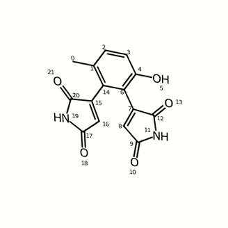 Cc1ccc(O)c(C2=CC(=O)NC2=O)c1C1=CC(=O)NC1=O